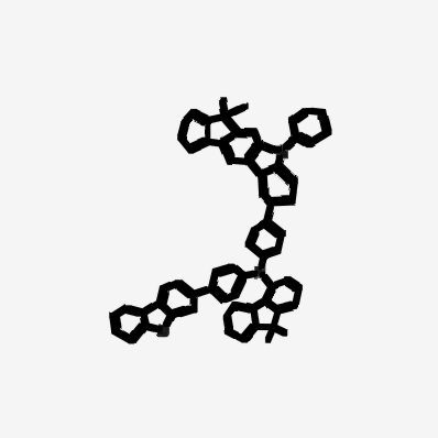 CC1(C)c2ccccc2-c2cc3c4cc(-c5ccc(N(c6ccc(-c7ccc8c(c7)oc7ccccc78)cc6)c6cccc7c6-c6ccccc6C7(C)C)cc5)ccc4n(-c4ccccc4)c3cc21